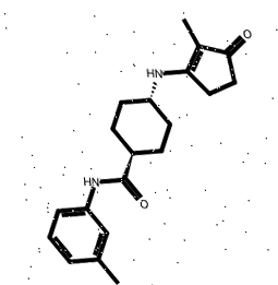 CC1=C(N[C@H]2CC[C@H](C(=O)Nc3cccc(C)c3)CC2)CCC1=O